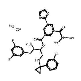 CCCN(CCC)C(=O)c1cc(C(=O)OC(CNC2(c3cccc(CC)c3)CC2)C(N)Cc2cc(F)cc(F)c2)cc(-c2ncco2)c1.Cl.Cl